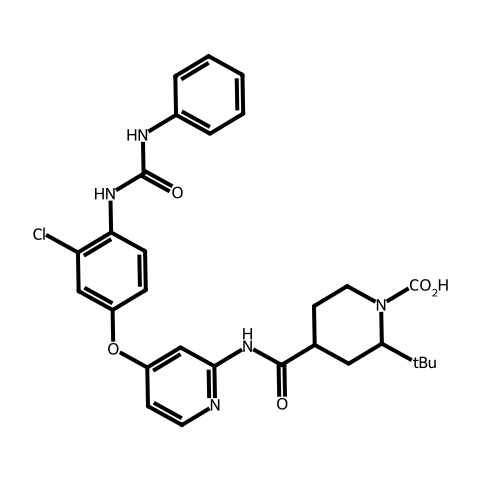 CC(C)(C)C1CC(C(=O)Nc2cc(Oc3ccc(NC(=O)Nc4ccccc4)c(Cl)c3)ccn2)CCN1C(=O)O